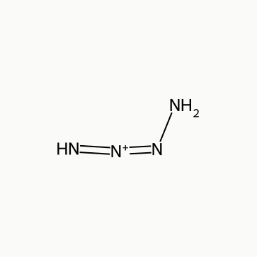 N=[N+]=NN